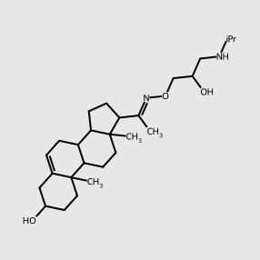 C/C(=N\OCC(O)CNC(C)C)C1CCC2C3CC=C4CC(O)CCC4(C)C3CCC12C